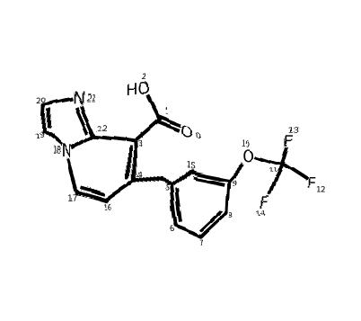 O=C(O)c1c(-c2cccc(OC(F)(F)F)c2)ccn2ccnc12